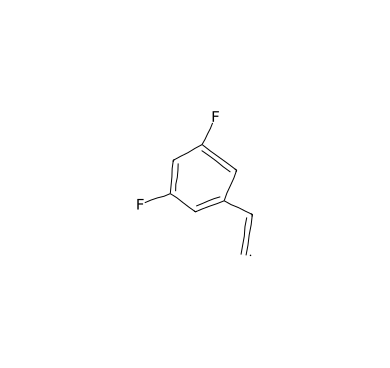 [CH]=Cc1cc(F)cc(F)c1